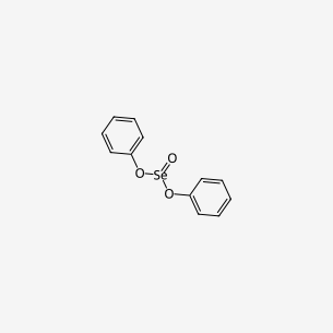 O=[Se](Oc1ccccc1)Oc1ccccc1